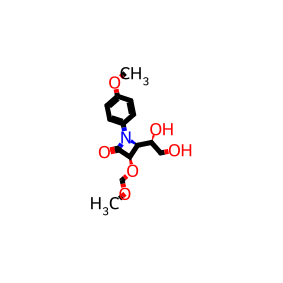 COCO[C@H]1C(=O)N(c2ccc(OC)cc2)[C@H]1[C@H](O)CO